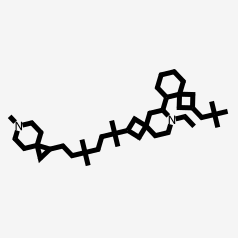 CCN1CCC2(CC1C1CCCCC13CC(CC(C)(C)C)C3)CC(C(C)(C)CCC(C)(C)CCC1CC13CCN(C)CC3)C2